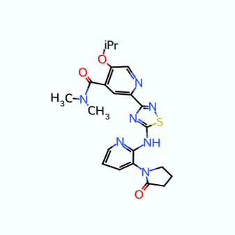 CC(C)Oc1cnc(-c2nsc(Nc3ncccc3N3CCCC3=O)n2)cc1C(=O)N(C)C